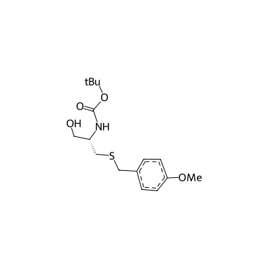 COc1ccc(CSC[C@H](CO)NC(=O)OC(C)(C)C)cc1